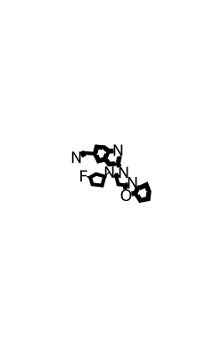 N#Cc1ccc2ncc3nc(Cc4nc5ccccc5o4)n([C@@H]4CC[C@H](F)C4)c3c2c1